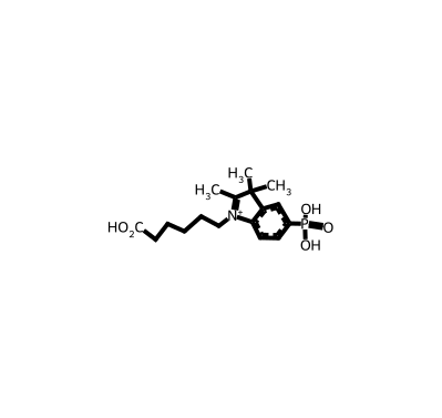 CC1=[N+](CCCCCC(=O)O)c2ccc(P(=O)(O)O)cc2C1(C)C